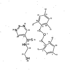 Cc1cc(C)c(SOSc2c(C)cc(C)cc2C)c(C)c1.S=C(NCCS)c1cncnc1